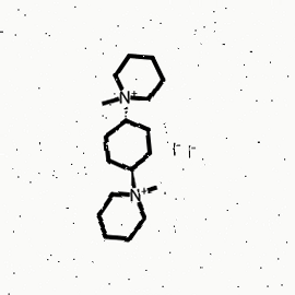 C[N+]1([C@H]2CC[C@H]([N+]3(C)CCCCC3)CC2)CCCCC1.[I-].[I-]